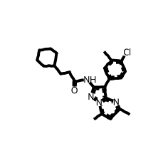 Cc1cc(C)n2nc(NC(=O)CCC3CCCCC3)c(-c3ccc(Cl)c(C)c3)c2n1